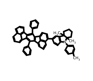 Cc1ccc(N2c3ccc(-c4ccc5c6c(-c7ccccc7)c7c8cccc9cccc(c7c(-c7ccccc7)c6c6cccc4c65)c98)cc3C3(C)CCCCC23C)cc1